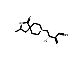 C=C(C=N)[C@H](O)CN1CCC2(CC1)CC(C)NC2=O